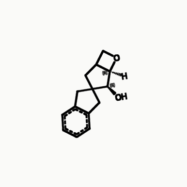 O[C@@H]1[C@@H]2OCC2CC12Cc1ccccc1C2